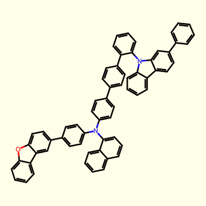 c1ccc(-c2ccc3c4ccccc4n(-c4ccccc4-c4ccc(-c5ccc(N(c6ccc(-c7ccc8oc9ccccc9c8c7)cc6)c6cccc7ccccc67)cc5)cc4)c3c2)cc1